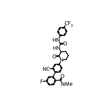 CNC(=O)c1ccc(F)cc1-c1ccc(N2CCCC(NC(=O)Nc3ccc(C(F)(F)F)cc3)C2=O)cc1C#N